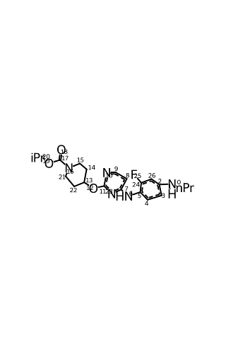 CCCNc1ccc(Nc2ccnc(OC3CCN(C(=O)OC(C)C)CC3)n2)c(F)c1